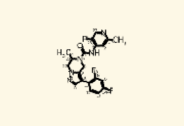 Cc1cc(NC(=O)N2Cc3c(-c4ccc(F)cc4F)cnn3CC2C)c(F)cn1